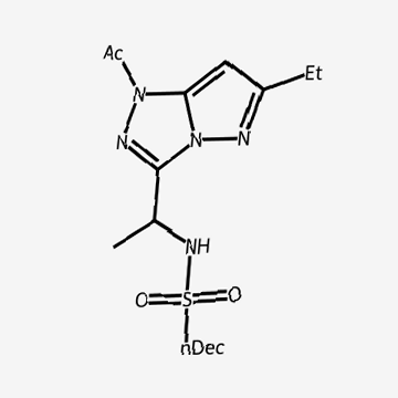 CCCCCCCCCCS(=O)(=O)NC(C)c1nn(C(C)=O)c2cc(CC)nn12